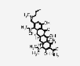 CN(CCF)Cc1cc(O)c2c(c1N(C)C)C[C@H]1C[C@H]3[C@H](N(C)C)C(O)=C(C(N)=O)C(=O)[C@@]3(O)C(O)=C1C2=O